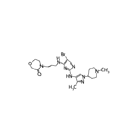 Cc1nn(C2CCN(C)CC2)cc1Nc1ncc(Br)c(NCCCN2CCOCC2=O)n1